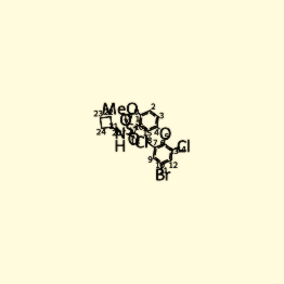 COc1ccc(Oc2c(Cl)cc(Br)cc2Cl)cc1S(=O)(=O)NC1CCC1